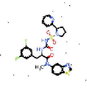 CN(C(=O)C(Cc1cc(F)cc(F)c1)NC(=O)NS(=O)(=O)N1CCCC1c1ccccn1)c1ccc2scnc2c1